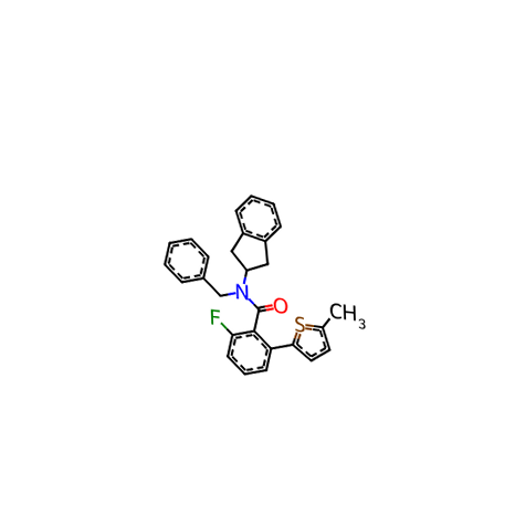 Cc1ccc(-c2cccc(F)c2C(=O)N(Cc2ccccc2)C2Cc3ccccc3C2)s1